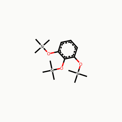 C[Si](C)(C)Oc1cccc(O[Si](C)(C)C)c1O[Si](C)(C)C